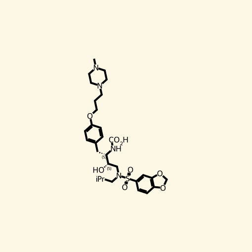 CC(C)CN(C[C@H](O)[C@H](Cc1ccc(OCCCN2CCN(C)CC2)cc1)NC(=O)O)S(=O)(=O)c1ccc2c(c1)OCO2